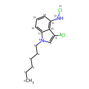 CCCCCCn1cc(Cl)c2c(NCl)cccc21